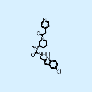 CN(C(=O)NCc1cc2cc(Cl)ccc2[nH]1)[C@@H]1CCCN(C(=O)Cc2ccncc2)C1